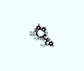 CO[C@H]1CN(C)C(=O)[C@@H]2C[C@@H](CN2C(=O)c2cnn3c2CC(C)Oc2cc(F)ccc2-3)Nc2cccc(n2)-c2cc(F)cc3nc(C)n(c23)C1